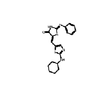 O=C1N/C(=N/c2ccccc2)S/C1=C\c1cnc(NC2CCCCC2)s1